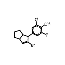 Oc1c(F)cc(C2C(Br)=CC3CCCC32)cc1Cl